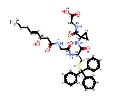 CCC/C=C/[C@@H](O)CC(=O)NCC(=O)N[C@H](CSC(c1ccccc1)(c1ccccc1)c1ccccc1)C(=O)NC1(C(=O)NCC(=O)O)CC1